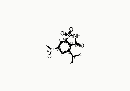 CC(C)c1cc([S+](C)[O-])cc2c1C(=O)NS2(=O)=O